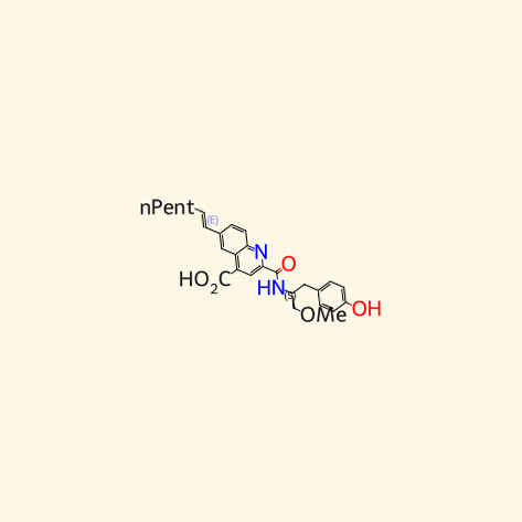 CCCCC/C=C/c1ccc2nc(C(=O)N[C@H](COC)Cc3ccc(O)cc3)cc(C(=O)O)c2c1